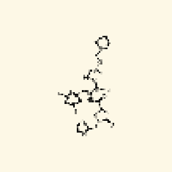 O=C(N[C@@H](Cc1cc(F)cc(F)c1)[C@H](O)[C@H]1C[C@@H](OCc2ccccc2)CN1)C1CC(=O)N(Cc2nccs2)C1